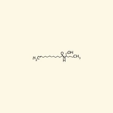 C=CCCCCCCCCCC(=O)NC(CO)CCCC